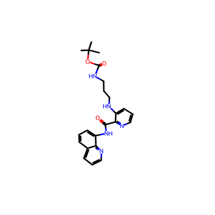 CC(C)(C)OC(=O)NCCCNc1cccnc1C(=O)Nc1cccc2cccnc12